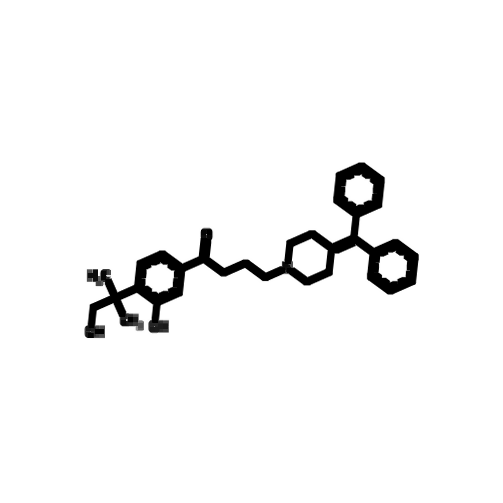 CC(C)(CO)c1ccc(C(=O)CCCN2CCC(=C(c3ccccc3)c3ccccc3)CC2)cc1O